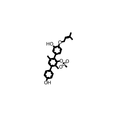 CC(C)=CCOc1ccc(-c2c(C)cc(-c3ccc(O)cc3)c(C)c2OS(C)(=O)=O)cc1O